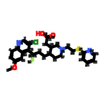 COc1ccc2ncc(Cl)c([C@H](F)CCC3CCN(CCSc4ccccn4)CC3CC(=O)O)c2c1